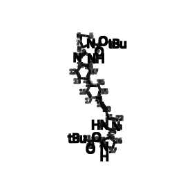 CC(C)(C)OC(=O)N1CCC[C@H]1c1nc2ccc(-c3ccc(C#Cc4cnc([C@@H]5CCNC5OC(=O)C(C)(C)C)[nH]4)cc3)cc2[nH]1